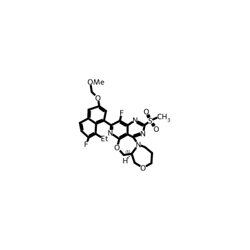 CCc1c(F)ccc2cc(OCOC)cc(-c3nc4c5c(nc(S(C)(=O)=O)nc5c3F)N3CCCOC[C@H]3CO4)c12